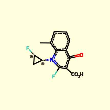 Cc1cccc2c(=O)c(C(=O)O)c(F)n([C@@H]3C[C@@H]3F)c12